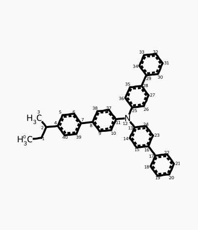 CCC(C)c1ccc(-c2ccc(N(c3ccc(-c4ccccc4)cc3)c3ccc(-c4ccccc4)cc3)cc2)cc1